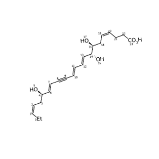 CC/C=C\C[C@@H](O)/C=C/C#CC=CC=C[C@@H](O)[C@@H](O)C/C=C\CCC(=O)O